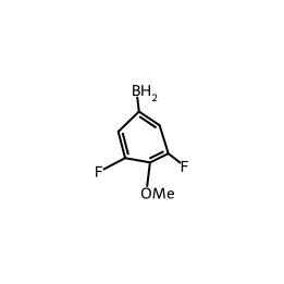 Bc1cc(F)c(OC)c(F)c1